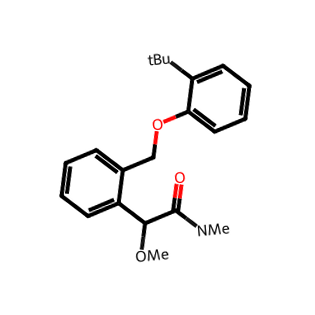 CNC(=O)C(OC)c1ccccc1COc1ccccc1C(C)(C)C